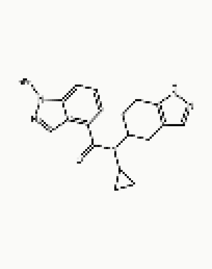 CCCn1ncc2c(C(=O)N(C3CC3)C3CCc4[nH]ncc4C3)cccc21